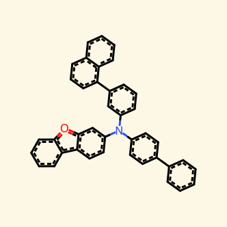 c1ccc(-c2ccc(N(c3cccc(-c4cccc5ccccc45)c3)c3ccc4c(c3)oc3ccccc34)cc2)cc1